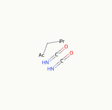 CC(=O)CC(C)C.N=C=O.N=C=O